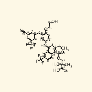 CC[C@@H]1C[C@H](Nc2ncc(OCCO)c(Cc3cc(C#N)cc(C(F)(F)F)c3)n2)c2cc(C(F)(F)F)ccc2N1C(=O)OCC(C)(C)C(=O)O